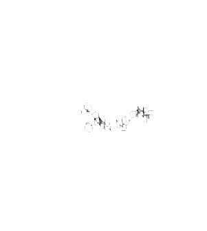 COC(=O)c1ccc2nc(C(C)N3CCC(c4cccc(OCc5ccc6cnn(CC(F)(F)F)c6c5)n4)CC3)n(CC3CCO3)c2c1